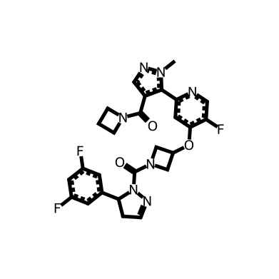 Cn1ncc(C(=O)N2CCC2)c1-c1cc(OC2CN(C(=O)N3N=CCC3c3cc(F)cc(F)c3)C2)c(F)cn1